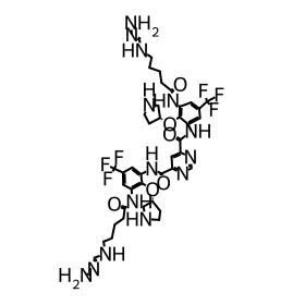 NN=CNCCCCC(=O)Nc1cc(C(F)(F)F)cc(NC(=O)c2cc(C(=O)Nc3cc(C(F)(F)F)cc(NC(=O)CCCCNC=NN)c3O[C@@H]3CCNC3)ncn2)c1O[C@@H]1CCNC1